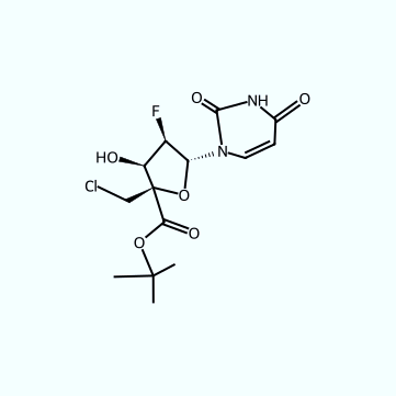 CC(C)(C)OC(=O)[C@@]1(CCl)O[C@@H](n2ccc(=O)[nH]c2=O)[C@H](F)[C@@H]1O